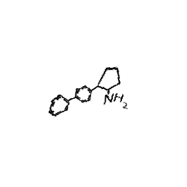 NC1CCCC1c1ccc(-c2ccccc2)cc1